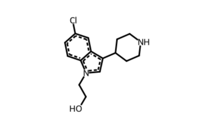 OCCn1cc(C2CCNCC2)c2cc(Cl)ccc21